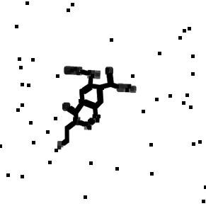 COC(=O)c1cc2nnn(CCF)c(=O)c2cc1NC=O